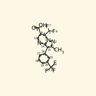 Cc1nn2c(C(F)F)c(C(=O)O)cnc2c1-c1cccc(C(F)(F)F)c1